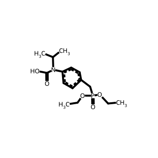 CCOP(=O)(Cc1ccc(N(C(=O)O)C(C)C)cc1)OCC